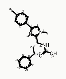 Cn1cc(-c2ccc(I)cc2)nc1[C@@H](CCc1ccccc1)NC(=O)O